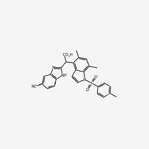 Cc1ccc(S(=O)(=O)n2ccc3c(C(C(=O)O)c4nc5cc(C#N)ccc5[nH]4)c(C)cc(C)c32)cc1